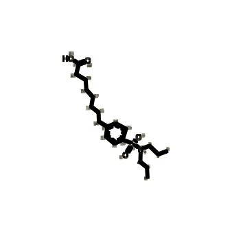 CCCN(CCC)S(=O)(=O)c1ccc(CCCCCCCC(=O)O)cc1